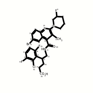 Cc1c(N2CCCC(F)C2)nc2ccc(Br)cc2c1C(=O)NCC(CCC(=O)O)c1c(F)ccc(F)c1Cl